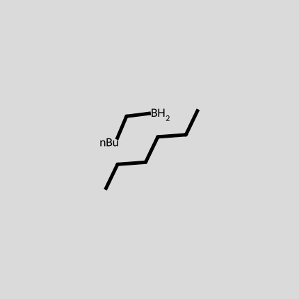 BCCCCC.CCCCCC